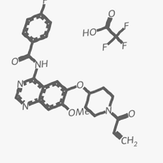 C=CC(=O)N1CCC(Oc2cc3c(NC(=O)c4ccc(F)cc4)ncnc3cc2OC)CC1.O=C(O)C(F)(F)F